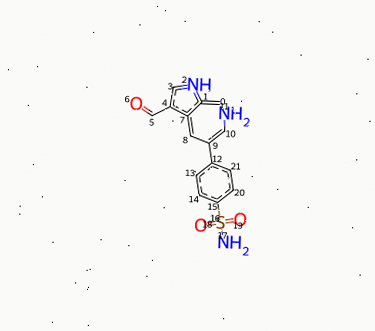 C=c1[nH]cc(C=O)/c1=C/C(=C\N)c1ccc(S(N)(=O)=O)cc1